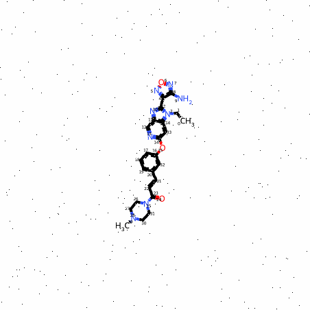 CCn1c(-c2nonc2N)nc2cnc(Oc3cccc(C=CC(=O)N4CCN(C)CC4)c3)cc21